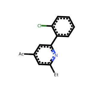 CCc1cc(C(C)=O)cc(-c2ccccc2Cl)n1